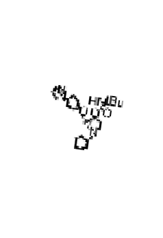 CC(C)(C)NC(=O)O[C@H]1CCN(Cc2ccccc2)C[C@@H]1COc1ccc(-n2cccn2)cc1